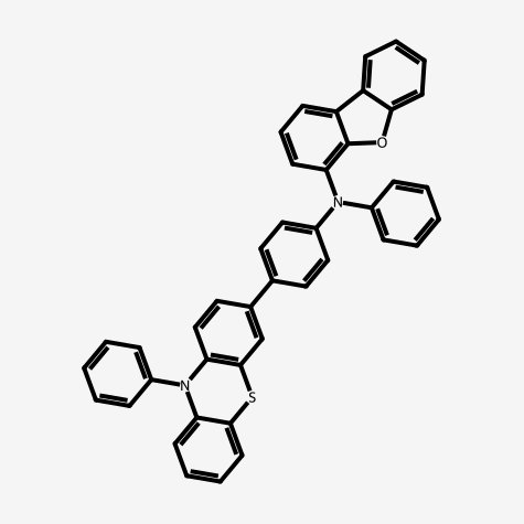 c1ccc(N2c3ccccc3Sc3cc(-c4ccc(N(c5ccccc5)c5cccc6c5oc5ccccc56)cc4)ccc32)cc1